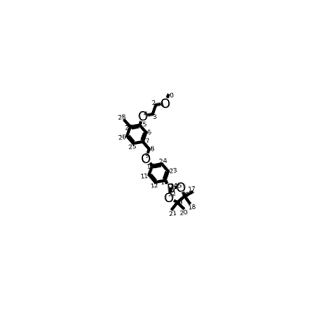 COCCOc1cc(COc2ccc(B3OC(C)(C)C(C)(C)O3)cc2)ccc1C